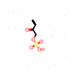 C=CC(=O)COS(=O)(=O)O